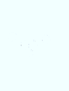 O=C(O)Nc1ccc(-c2ccccc2)cc1NC(=O)c1ccc(CCl)cc1